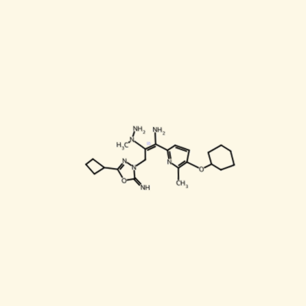 Cc1nc(/C(N)=C(\Cn2nc(C3CCC3)oc2=N)N(C)N)ccc1OC1CCCCC1